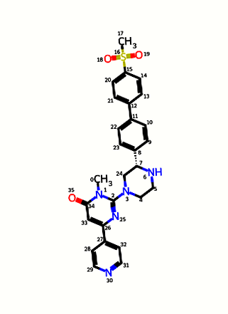 Cn1c(N2CCN[C@@H](c3ccc(-c4ccc(S(C)(=O)=O)cc4)cc3)C2)nc(-c2ccncc2)cc1=O